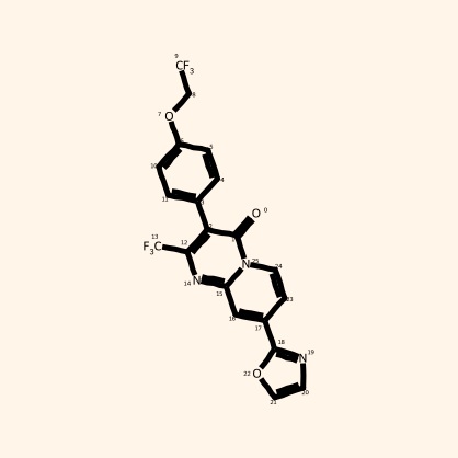 O=c1c(-c2ccc(OCC(F)(F)F)cc2)c(C(F)(F)F)nc2cc(-c3ncco3)ccn12